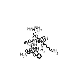 CC(C)C[C@H](NC(=O)[C@H](CCCNC(=N)N)NC(=O)[C@H](CO)NC(=O)[C@@H](N)CCCCN)C(=O)N[C@@H](Cc1ccccc1)C(=O)NCC(N)=O